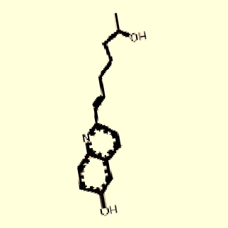 CC(O)CCCC=Cc1ccc2cc(O)ccc2n1